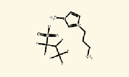 CCCC[n+]1ccn(C)c1.O=S(=O)([O-])C(F)(F)C(F)C(F)(F)F